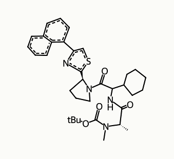 C[C@@H](C(=O)NC(C(=O)N1CCC[C@H]1c1nc(-c2cccc3ccccc23)cs1)C1CCCCC1)N(C)C(=O)OC(C)(C)C